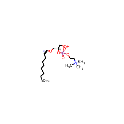 CCCCCCCCCCCCCCCC/C=C\OC[C@H](CO)OP(=O)([O-])OCC[N+](C)(C)C